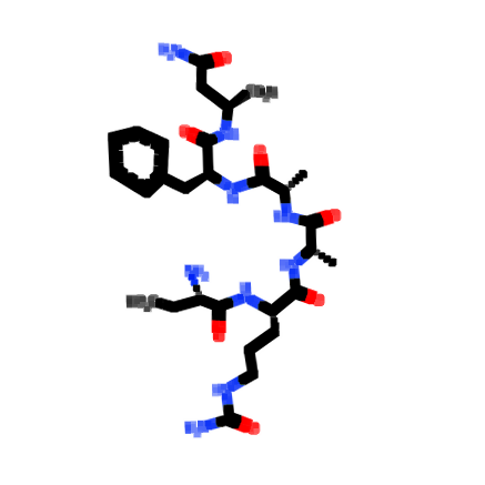 C[C@H](NC(=O)[C@H](C)NC(=O)[C@H](CCCNC(N)=O)NC(=O)[C@@H](N)CC(=O)O)C(=O)N[C@@H](Cc1ccccc1)C(=O)N[C@@H](CC(N)=O)C(=O)O